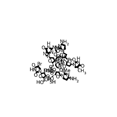 CO[C@H]1C(OP(=O)(S)OC[C@H]2O[C@@H](n3cnc4c(=O)[nH]c(N)nc43)CC2OP(=O)(S)OC[C@H]2O[C@@H](n3cc(C)c(=O)[nH]c3=O)CC2OP(=S)(OCCOCCOCCN)OC[C@H]2O[C@@H](n3ccc(N)nc3=O)CC2C(C)C)[C@@H](COP(=O)(S)OC2[C@@H](CO)O[C@@H](n3cc(Br)c(=O)[nH]c3=O)[C@H]2OC)O[C@H]1n1ccc(N)nc1=O